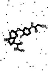 C=CC(=O)Nc1ccc(F)c(Oc2cnc3[nH]cc(C(=O)NC(C)C)c3n2)c1